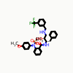 COc1ccc(N(c2ccccc2C(=O)N[C@@H](Cc2ccccc2)[C@H](O)CNCc2cccc(C(F)(F)F)c2)S(C)(=O)=O)cc1